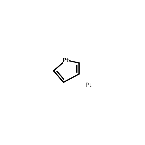 C1=[CH][Pt][CH]=C1.[Pt]